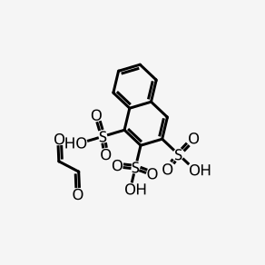 O=CC=O.O=S(=O)(O)c1cc2ccccc2c(S(=O)(=O)O)c1S(=O)(=O)O